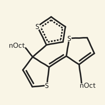 CCCCCCCCC1=CCSC1=C1SC=CC1(CCCCCCCC)c1cccs1